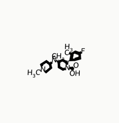 Cc1cc(F)ccc1[C@H]1C[C@H](N(C)C2CCN(C)CC2)CCN1C(=O)O